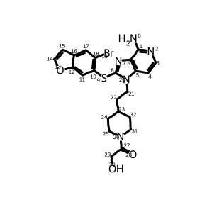 Nc1nccc2c1nc(Sc1cc3occc3cc1Br)n2CCC1CCN(C(=O)CO)CC1